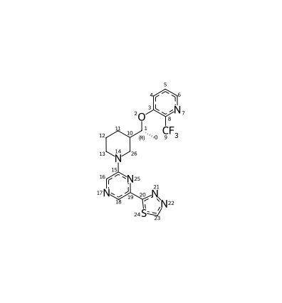 C[C@@H](Oc1cccnc1C(F)(F)F)C1CCCN(c2cncc(-c3nncs3)n2)C1